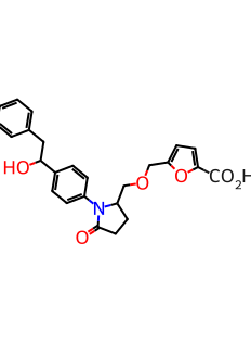 O=C(O)c1ccc(COCC2CCC(=O)N2c2ccc(C(O)Cc3ccccc3)cc2)o1